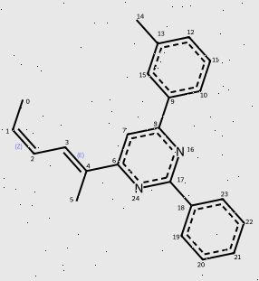 C/C=C\C=C(/C)c1cc(-c2cccc(C)c2)nc(-c2ccccc2)n1